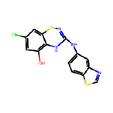 Oc1cc(Cl)cc2c1NC(Nc1ccc3scnc3c1)=NS2